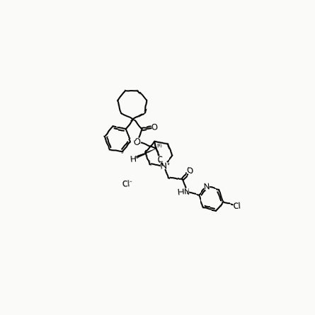 O=C(C[N+]12CCC(CC1)[C@@H](OC(=O)C1(c3ccccc3)CCCCCC1)C2)Nc1ccc(Cl)cn1.[Cl-]